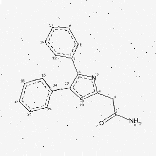 NC(=O)Cc1nc(-c2ccccc2)c(-c2ccccc2)s1